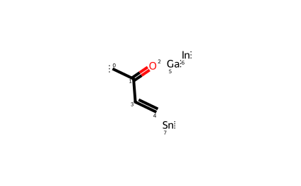 [C]C(=O)C=C.[Ga].[In].[Sn]